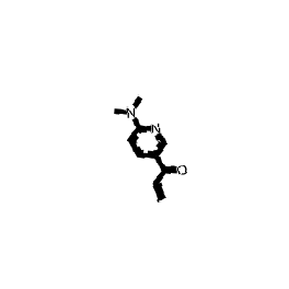 C=CC(=O)c1ccc(N(C)C)nc1